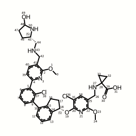 COc1nc(-c2cccc(-c3cccc4c3CC[C@@H]4Oc3nc(OC)c(CNC4(C(=O)O)CC4)cc3Cl)c2Cl)ccc1CNC[C@@H]1CCC(O)N1